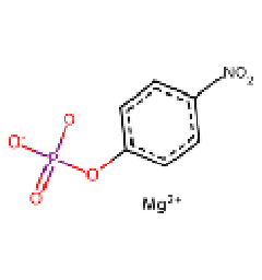 O=[N+]([O-])c1ccc(OP(=O)([O-])[O-])cc1.[Mg+2]